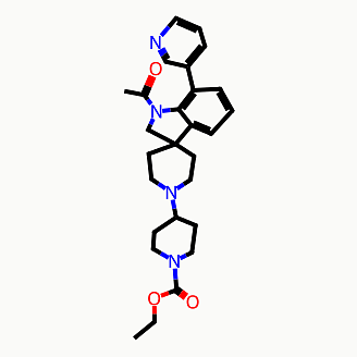 CCOC(=O)N1CCC(N2CCC3(CC2)CN(C(C)=O)c2c(-c4cccnc4)cccc23)CC1